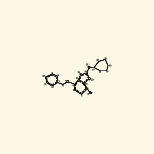 Brc1ccc(OCc2ccccc2)c2nc(OC3CCCCC3)oc12